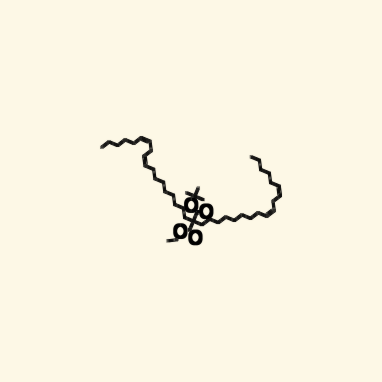 CCCCC/C=C\C/C=C\CCCCCCCCC(CCCCCCCC/C=C\C/C=C\CCCCC)(C(=O)OCC)C(=O)OC(C)(C)C